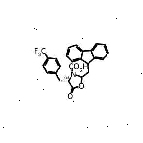 O=C1OC(CC2c3ccccc3-c3ccccc32)N(C(=O)O)[C@H]1Cc1ccc(C(F)(F)F)cc1